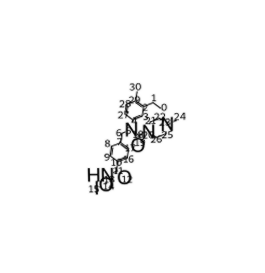 CCc1cc(N(Cc2ccc(C(=O)NOI)cc2)C(=O)N2CCN(C)CC2)ccc1C